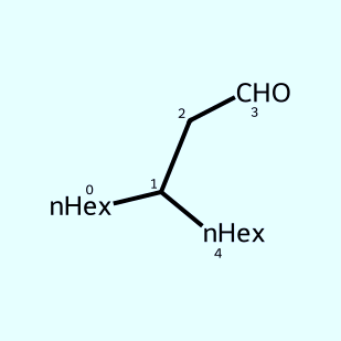 CCCCCCC(CC=O)CCCCCC